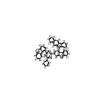 c1ccc(-c2nc(-c3cc(-n4c5ccccc5c5cc6ccccc6cc54)c4c(c3)oc3ccccc34)nc(-c3cccc4oc5ccccc5c34)n2)cc1